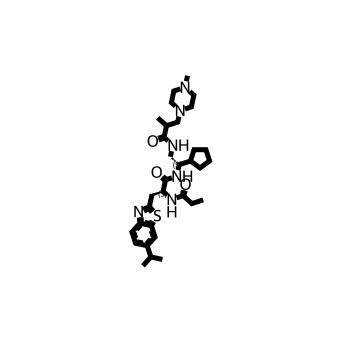 CCC(=O)N[C@@H](Cc1nc2ccc(C(C)C)cc2s1)C(=O)N[C@H](CNC(=O)C(C)CN1CCN(C)CC1)C1CCCC1